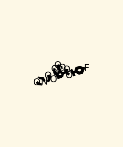 CC(C)(OC(=O)C1C2CC3C(OS(=O)(=O)C31)C2OC(=O)CN1CCOCC1)c1ccc(F)cc1